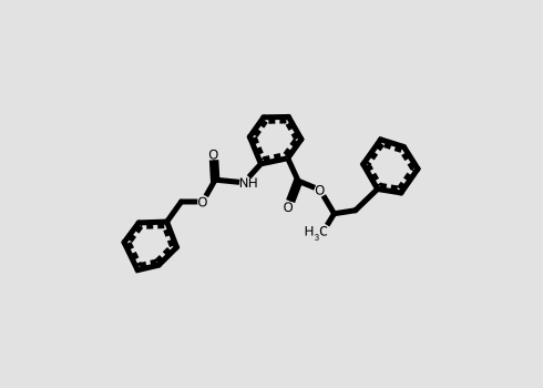 CC(Cc1ccccc1)OC(=O)c1ccccc1NC(=O)OCc1ccccc1